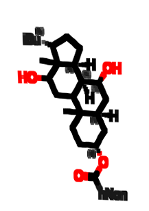 CCCCCCCCCC(=O)O[C@@H]1CCC2(C)C3CC(O)C4(C)C([C@@H](C)CC)CC[C@H]4[C@H]3[C@@H](O)C[C@H]2C1